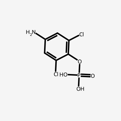 Nc1cc(Cl)c(OP(=O)(O)O)c(Cl)c1